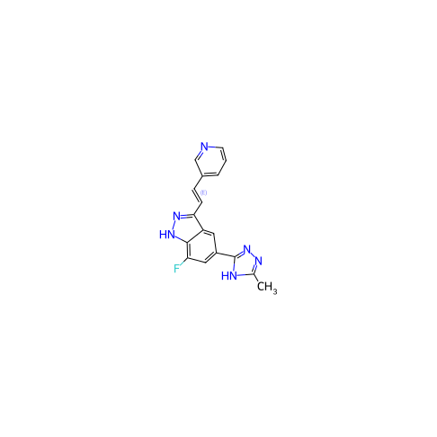 Cc1nnc(-c2cc(F)c3[nH]nc(/C=C/c4cccnc4)c3c2)[nH]1